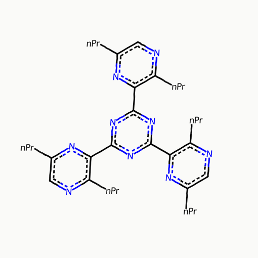 CCCc1cnc(CCC)c(-c2nc(-c3nc(CCC)cnc3CCC)nc(-c3nc(CCC)cnc3CCC)n2)n1